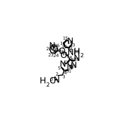 C=NCCc1cnc2c(C(=O)Nc3cnccc3OC3CN4CCC3CC4)c(N)nn2c1